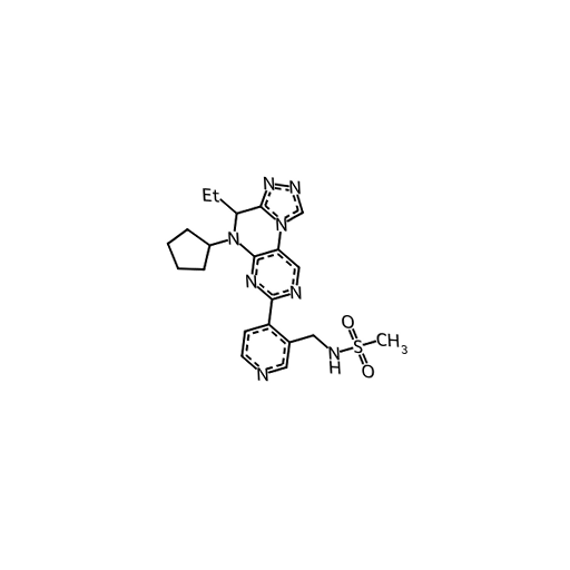 CCC1c2nncn2-c2cnc(-c3ccncc3CNS(C)(=O)=O)nc2N1C1CCCC1